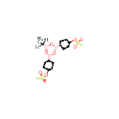 CCC(C)(CC)B1OB(c2ccc(OS(=O)(=O)F)cc2)OB(c2ccc(OS(=O)(=O)F)cc2)O1